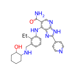 CCc1c(CNC2CCCCC2O)cccc1Nc1c(C(N)=O)cnc2[nH]c(-c3ccncc3)nc12